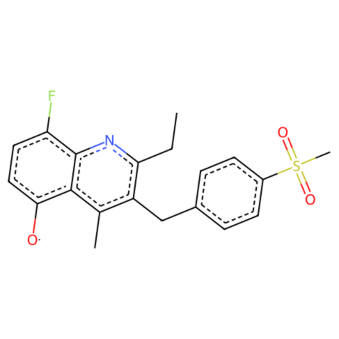 CCc1nc2c(F)ccc([O])c2c(C)c1Cc1ccc(S(C)(=O)=O)cc1